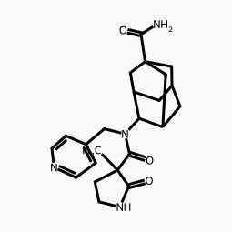 CC1(C(=O)N(Cc2ccncc2)C2C3CC4CC2CC(C(N)=O)(C4)C3)CCNC1=O